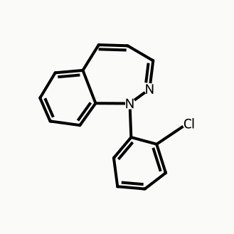 Clc1ccccc1N1N=CC=Cc2ccccc21